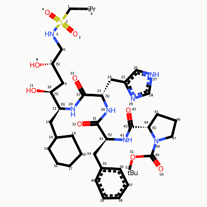 CC(C)CS(=O)(=O)NC[C@@H](O)C[C@H](O)[C@H](CC1CCCCC1)NC(=O)[C@H](Cc1c[nH]cn1)NC(=O)[C@H](Cc1ccccc1)NC(=O)[C@@H]1CCCN1C(=O)OC(C)(C)C